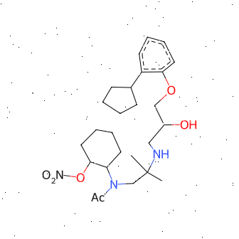 CC(=O)N(CC(C)(C)NCC(O)COc1ccccc1C1CCCC1)C1CCCCC1O[N+](=O)[O-]